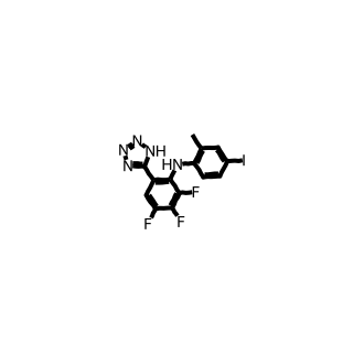 Cc1cc(I)ccc1Nc1c(-c2nnn[nH]2)cc(F)c(F)c1F